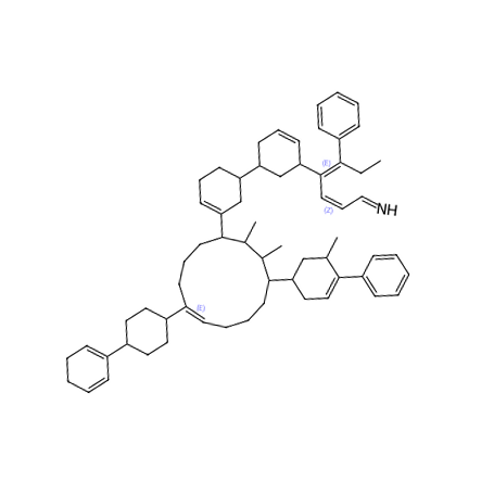 CC/C(=C(\C=C/C=N)C1C=CCC(C2CCC=C(C3CCC/C(C4CCC(C5=CCCC=C5)CC4)=C\CCCC(C4CC=C(c5ccccc5)C(C)C4)C(C)C3C)C2)C1)c1ccccc1